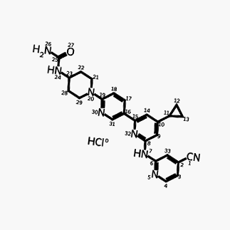 Cl.N#Cc1ccnc(Nc2cc(C3CC3)cc(-c3ccc(N4CCC(NC(N)=O)CC4)nc3)n2)c1